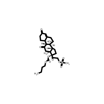 CCCCOC(=O)O[C@]1(C(=O)COS(C)(=O)=O)CC[C@H]2[C@@H]3CCC4=CC(=O)CC[C@]4(C)[C@H]3C(=O)C[C@@]21C